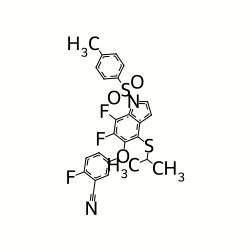 Cc1ccc(S(=O)(=O)n2ccc3c(SC(C)C)c(Oc4ccc(F)c(C#N)c4)c(F)c(F)c32)cc1